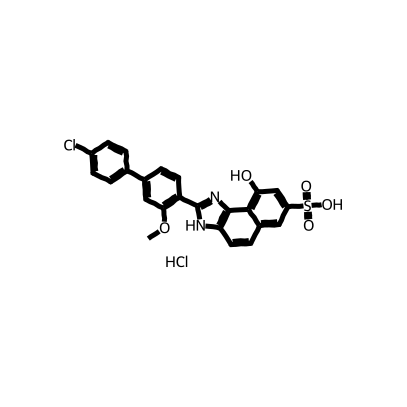 COc1cc(-c2ccc(Cl)cc2)ccc1-c1nc2c(ccc3cc(S(=O)(=O)O)cc(O)c32)[nH]1.Cl